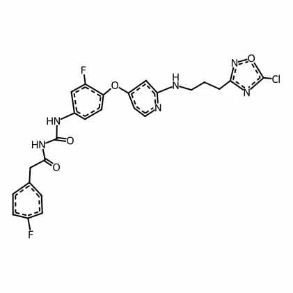 O=C(Cc1ccc(F)cc1)NC(=O)Nc1ccc(Oc2ccnc(NCCCc3noc(Cl)n3)c2)c(F)c1